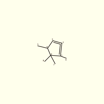 CC1=C=CC(C)C1(C)C